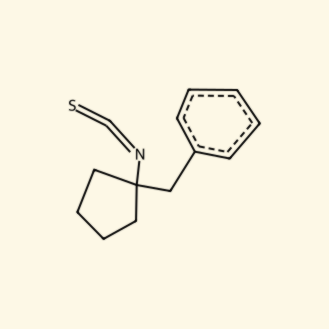 S=C=NC1(Cc2ccccc2)CCCC1